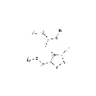 CCOC(C)OCC.CCOCC1COC(CC)O1